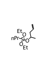 C=CCC(C)O[Si](CCC)(OCC)OCC